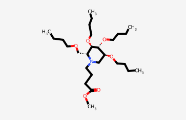 CCCCOC[C@@H]1[C@@H](OCCCC)[C@H](OCCCC)[C@@H](OCCCC)CN1CCCC(=O)OC